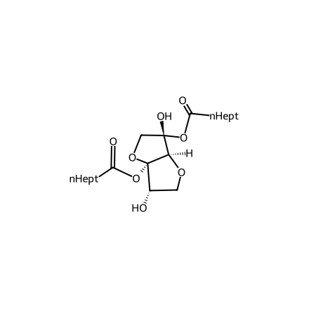 CCCCCCCC(=O)O[C@]12OC[C@](O)(OC(=O)CCCCCCC)[C@H]1OC[C@@H]2O